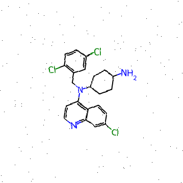 NC1CCC(N(Cc2cc(Cl)ccc2Cl)c2ccnc3cc(Cl)ccc23)CC1